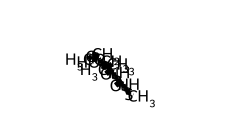 C=P(O)(OC)OCC(C)(C)C(C)C(=O)NCCC(=O)NCCSC